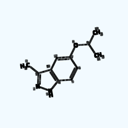 Cc1n[nH]c2ccc(OC(C)C)cc12